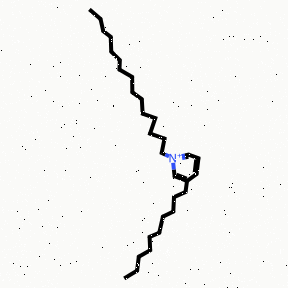 CCCCCCCCCCCCCCC[n+]1cccc(CCCCCCCCCC)c1